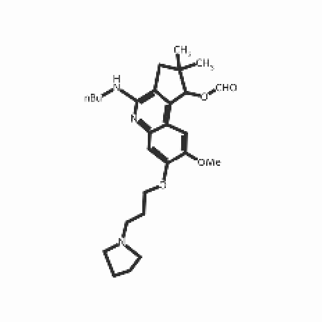 CCCCNc1nc2cc(OCCCN3CCCC3)c(OC)cc2c2c1CC(C)(C)C2OC=O